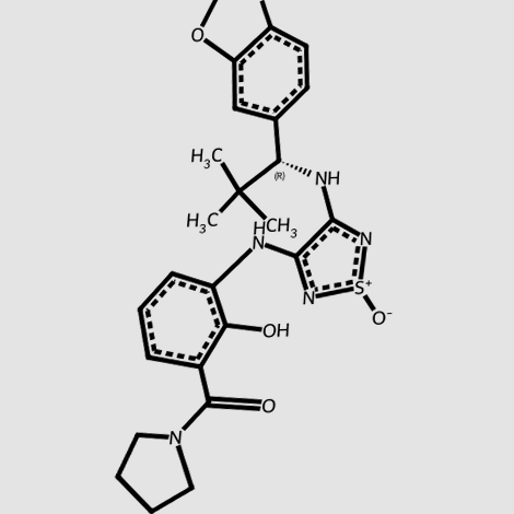 CC(C)(C)[C@@H](Nc1n[s+]([O-])nc1Nc1cccc(C(=O)N2CCCC2)c1O)c1ccc2c(c1)OCO2